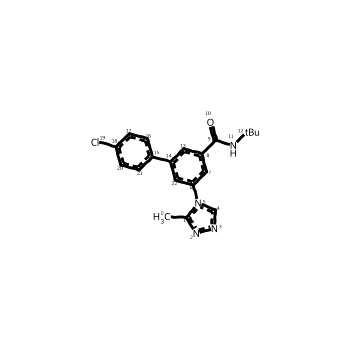 Cc1nncn1-c1cc(C(=O)NC(C)(C)C)cc(-c2ccc(Cl)cc2)c1